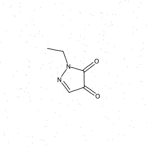 CCN1N=CC(=O)C1=O